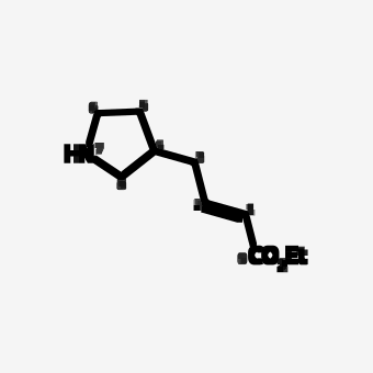 CCOC(=O)/C=C/CC1CCNC1